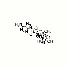 CCC(C)(C[C@H]1O[C@@H](n2cnc3c(N)ncnc32)[C@H](O)[C@@H]1O)OP(=O)(O)C(O)(CC)CC